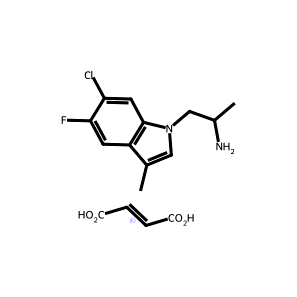 Cc1cn(CC(C)N)c2cc(Cl)c(F)cc12.O=C(O)/C=C/C(=O)O